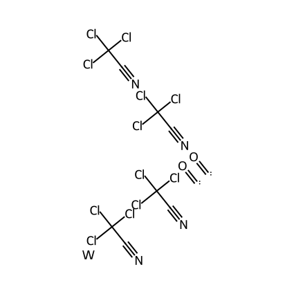 N#CC(Cl)(Cl)Cl.N#CC(Cl)(Cl)Cl.N#CC(Cl)(Cl)Cl.N#CC(Cl)(Cl)Cl.[C]=O.[C]=O.[W]